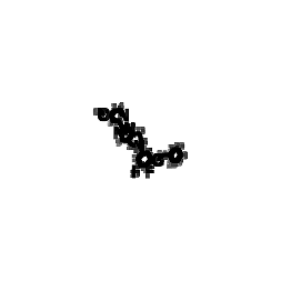 COc1ccnc(-c2ncc3c(n2)CCN(c2cc(F)c(F)c(OCc4ccccc4)c2)C3)c1